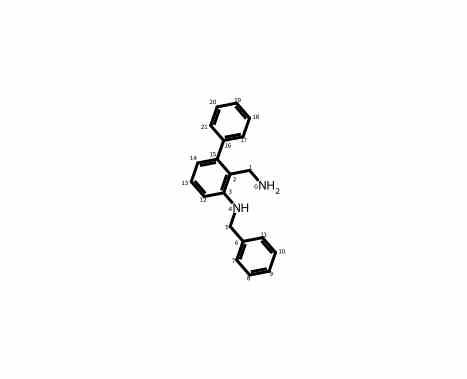 NCc1c(NCc2ccccc2)cccc1-c1ccccc1